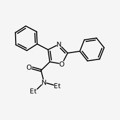 CCN(CC)C(=O)c1oc(-c2ccccc2)nc1-c1ccccc1